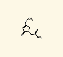 COC1=CC(=O)N(CC(N)=O)C1